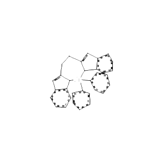 C1=C2CCC3=Cc4ccccc4[CH]3[Zr]([c]3ccccc3)([c]3ccccc3)[CH]2c2ccccc21